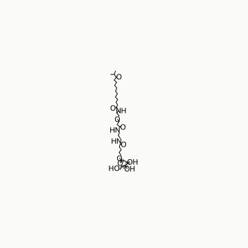 CC(C)C(=O)CCCCCCCCCCC(=O)NCCOCCC(=O)NCCCNC(=O)CCCCO[C@H]1C[C@@H](O)[C@@H](O)[C@@H](CO)O1